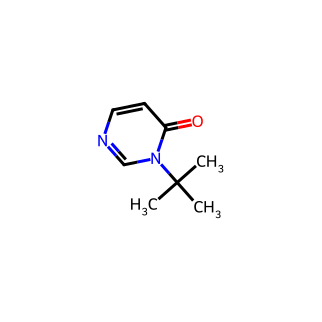 CC(C)(C)n1cnccc1=O